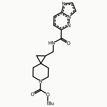 CC(C)(C)OC(=O)N1CCC2(CC1)CC2CNC(=O)c1ccc2nccn2n1